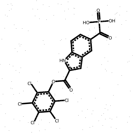 O=C(Oc1c(Cl)c(Cl)c(Cl)c(Cl)c1Cl)c1cc2cc(C(=O)P(=O)(O)O)ccc2[nH]1